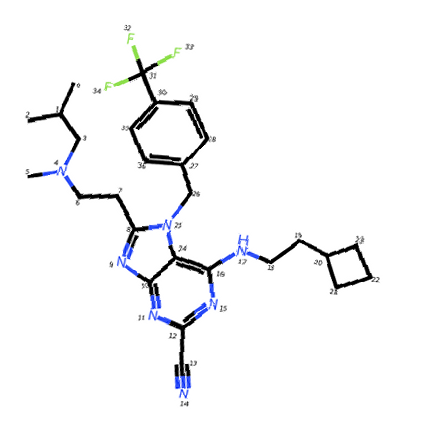 CC(C)CN(C)CCc1nc2nc(C#N)nc(NCCC3CCC3)c2n1Cc1ccc(C(F)(F)F)cc1